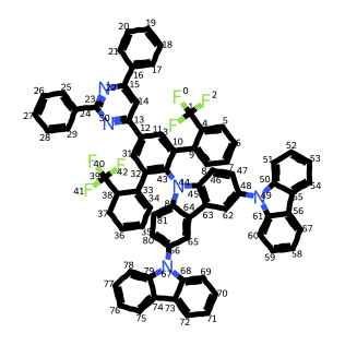 FC(F)(F)c1ccccc1-c1cc(-c2cc(-c3ccccc3)nc(-c3ccccc3)n2)cc(C2=CC=CCC2C(F)(F)F)c1-n1c2ccc(-n3c4ccccc4c4ccccc43)cc2c2cc(-n3c4ccccc4c4ccccc43)ccc21